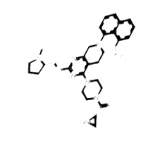 CN1CCC[C@H]1COc1nc2c(c(N3CCN(C(=O)[C@@H]4CN4)CC3)n1)CCN(c1cccc3cccc(OC(F)(F)F)c13)C2